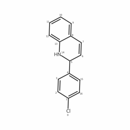 Clc1ccc(C2C=Cc3ccccc3N2)cc1